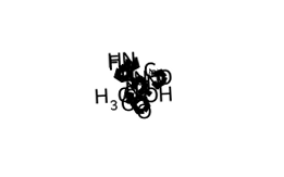 C[C@@H]1COCCN1c1nc(-c2ccc(F)c3[nH]ccc23)nc(C2(S(C)(=O)=O)CCOCC2)c1O